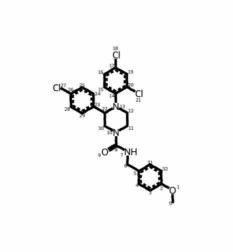 COc1ccc(CNC(=O)N2CCN(c3ccc(Cl)cc3Cl)C(c3ccc(Cl)cc3)C2)cc1